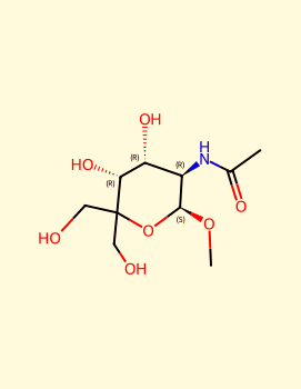 CO[C@H]1OC(CO)(CO)[C@H](O)[C@H](O)[C@H]1NC(C)=O